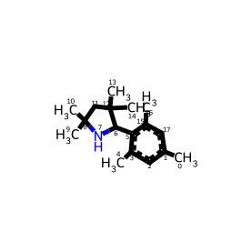 Cc1cc(C)c(C2NC(C)(C)CC2(C)C)c(C)c1